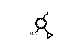 O=[N+]([O-])c1ccc(Cl)cc1C1CC1